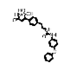 O=C1C=C(c2ccc(CCNC(=O)Nc3ccc(Oc4ccccc4)cc3)cc2)S(O)(O)N1